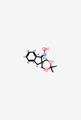 CC1(C)OCC2(CO1)Cc1ccccc1C2=NO